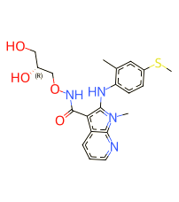 CSc1ccc(Nc2c(C(=O)NOC[C@H](O)CO)c3cccnc3n2C)c(C)c1